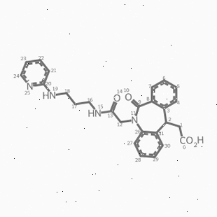 O=C(O)CC1c2ccccc2C(=O)N(CC(=O)NCCCNc2ccccn2)c2ccccc21